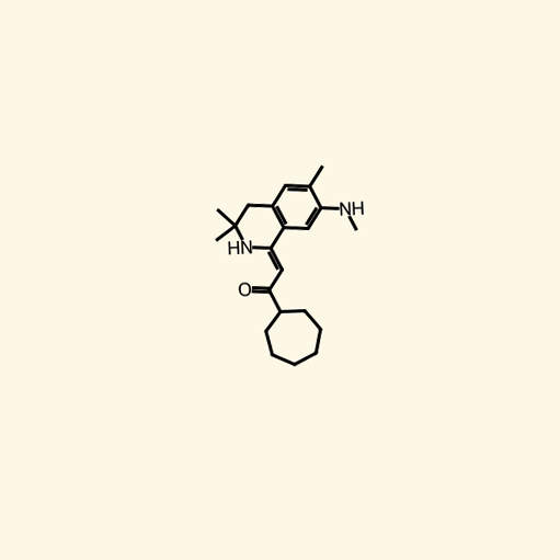 CNc1cc2c(cc1C)CC(C)(C)NC2=CC(=O)C1CCCCCC1